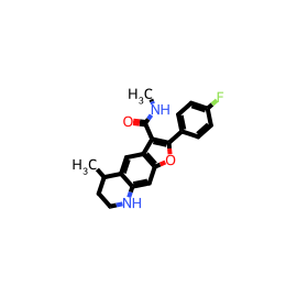 CNC(=O)c1c(-c2ccc(F)cc2)oc2cc3c(cc12)C(C)CCN3